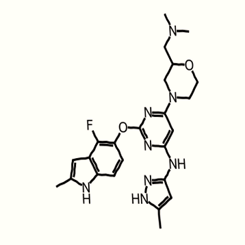 Cc1cc(Nc2cc(N3CCOC(CN(C)C)C3)nc(Oc3ccc4[nH]c(C)cc4c3F)n2)n[nH]1